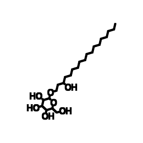 CCCCCCCCCCCCCCCC(O)CCOC1OC(CO)C(O)C(O)C1O